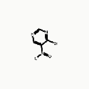 O=[N+]([O-])c1cncnc1Br